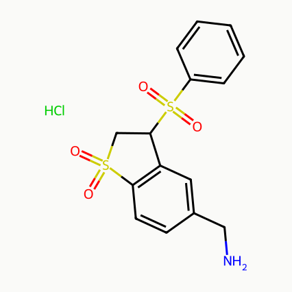 Cl.NCc1ccc2c(c1)C(S(=O)(=O)c1ccccc1)CS2(=O)=O